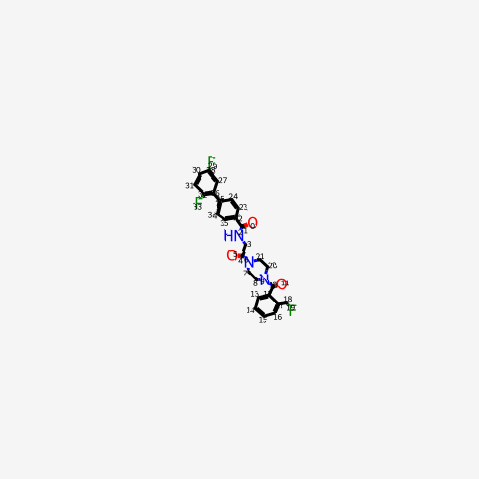 O=C(NCC(=O)N1CCN(C(=O)c2ccccc2CF)CC1)c1ccc(-c2cc(F)ccc2F)cc1